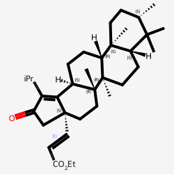 CCOC(=O)/C=C/[C@@]12CC[C@]3(C)[C@H](CC[C@@H]4[C@@]5(C)CC[C@H](C)C(C)(C)[C@@H]5CC[C@]43C)C1=C(C(C)C)C(=O)C2